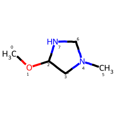 COC1[CH]N(C)CN1